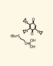 CC(C)(C)SCCOB(O)O.O=C1C=C(N2CC2)C(=O)C(N2CC2)=C1N1CC1